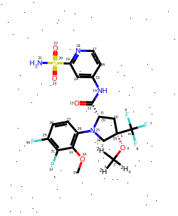 [2H]C([2H])([2H])O[C@@]1(C(F)(F)F)C[C@@H](C(=O)Nc2ccnc(S(N)(=O)=O)c2)N(c2ccc(F)c(F)c2OC)C1